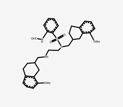 COc1cccc2c1CC(CNCCN(CC1CCc3cccc(OC)c3C1)S(=O)(=O)c1ccccc1NC=O)CC2